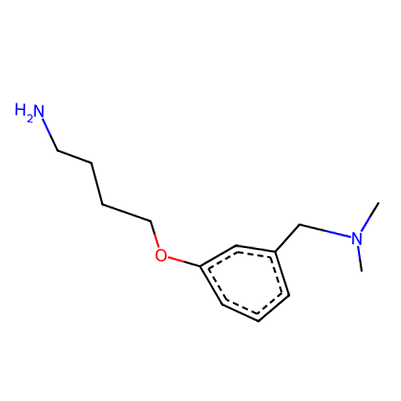 CN(C)Cc1cccc(OCCCCN)c1